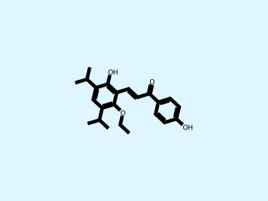 CCOc1c(C(C)C)cc(C(C)C)c(O)c1/C=C/C(=O)c1ccc(O)cc1